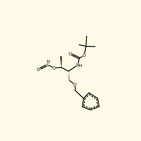 C[C@H](O[SH]=O)[C@@H](COCc1ccccc1)NC(=O)OC(C)(C)C